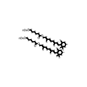 CCCCCCCCCCCCCCCC(=O)OC/C=C(C)/C=C/C=C(C)/C=C/C1=C(C)CCCC1(C)C.CCCCCCCCCCCCCCCC(=O)OC/C=C(C)/C=C/C=C(C)/C=C/C1=C(C)CCCC1(C)C